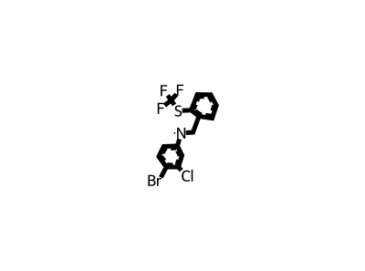 FC(F)(F)Sc1ccccc1C[N]c1ccc(Br)c(Cl)c1